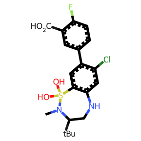 CN1C(C(C)(C)C)CNc2cc(Cl)c(-c3ccc(F)c(C(=O)O)c3)cc2S1(O)O